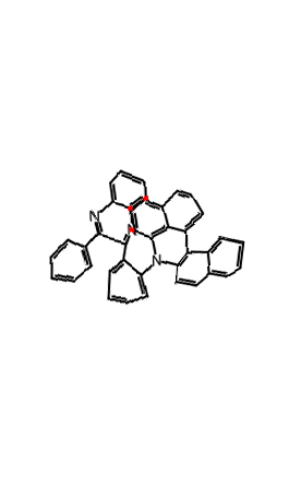 c1ccc(-c2nc3ccccc3nc2-c2ccccc2N2c3ccc4ccccc4c3-c3cccc4cccc2c34)cc1